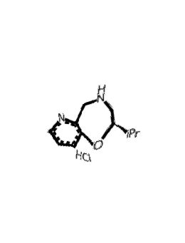 CC(C)[C@@H]1CNCc2ncccc2O1.Cl